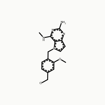 CNc1nc(N)nc2ccn(Cc3ccc(CCl)cc3OC)c12